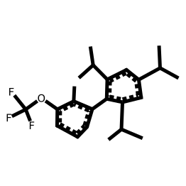 Cc1c(OC(F)(F)F)cccc1-c1c(C(C)C)cc(C(C)C)cc1C(C)C